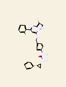 O=C(Nc1ccc(CNc2cc(-c3ccccc3Cl)nc3c(Br)cnn23)cc1)N[C@@H]1C[C@H]1c1ccccc1